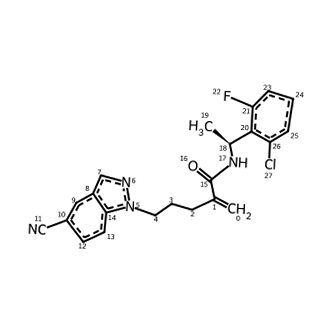 C=C(CCCn1ncc2cc(C#N)ccc21)C(=O)N[C@@H](C)c1c(F)cccc1Cl